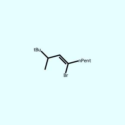 CCCCCC(Br)=CC(C)C(C)(C)C